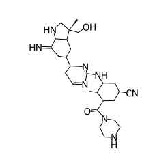 CC1C(NC2=NC(C3CC(=N)C4NC[C@](C)(CO)C4C3)CC=N2)CC(C#N)CC1C(=O)N1CCNCC1